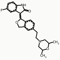 CC1CN(CCc2ccc3c(c2)CO/C3=C2/C(=O)Nc3ccc(F)cc32)CC(C)O1